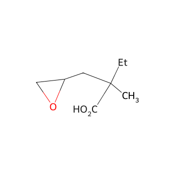 CCC(C)(CC1CO1)C(=O)O